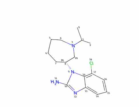 CC(C)N1CCCC[C@@H](n2c(N)nc3cccc(Cl)c32)C1